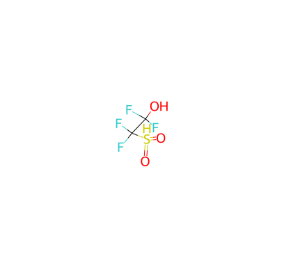 O=[SH](=O)C(F)(F)C(O)(F)F